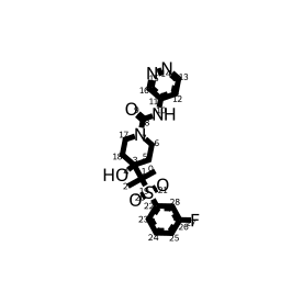 CC(C)(C1(O)CCN(C(=O)Nc2ccnnc2)CC1)S(=O)(=O)c1cccc(F)c1